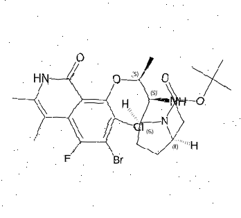 Cc1[nH]c(=O)c2c(O[C@@H](C)[C@H]3NC[C@H]4CC[C@@H]3N4C(=O)OC(C)(C)C)c(Cl)c(Br)c(F)c2c1C